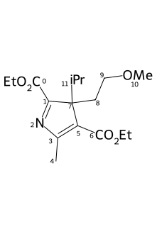 CCOC(=O)C1=NC(C)=C(C(=O)OCC)C1(CCOC)C(C)C